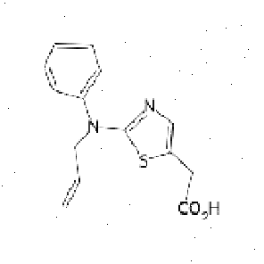 C=CCN(c1ccccc1)c1ncc(CC(=O)O)s1